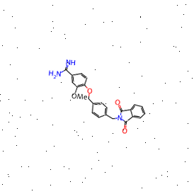 COc1cc(C(=N)N)ccc1OCc1ccc(CN2C(=O)c3ccccc3C2=O)cc1